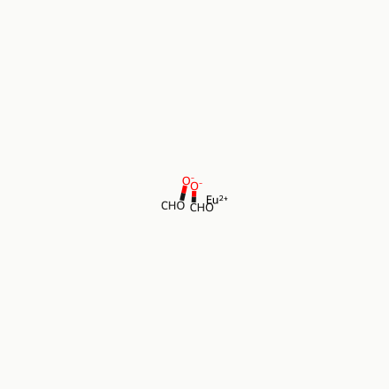 O=C[O-].O=C[O-].[Eu+2]